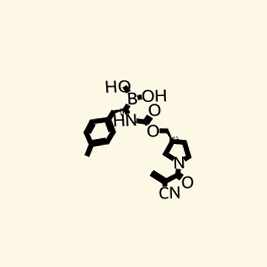 C=C(C#N)C(=O)N1CC[C@H](COC(=O)N[C@@H](Cc2ccc(C)cc2)B(O)O)C1